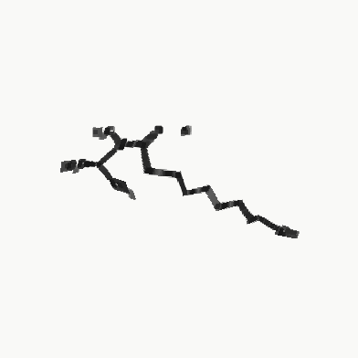 CCCCCCCCCCCCCCCCCC(=O)N(C)[C@@H](C)C(=O)O.[Al]